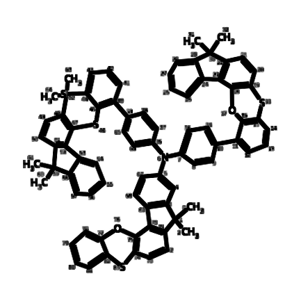 CC1(C)c2cc(N(c3ccc(-c4cccc5c4Oc4c(ccc6c4-c4ccccc4C6(C)C)S5)cc3)c3ccc(-c4cccc5c4Sc4c(ccc6c4-c4ccccc4C6(C)C)[Si]5(C)C)cc3)ccc2-c2c1ccc1c2Oc2ccccc2S1